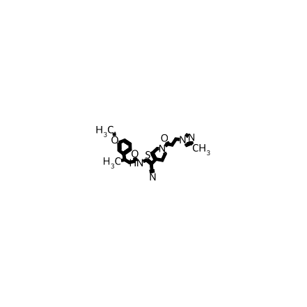 CCOc1cccc(C(C)CC(=O)Nc2sc3c(c2C#N)CCN(C(=O)CCn2cnc(C)c2)C3)c1